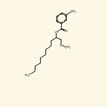 CCCCCCCCCC(COC)OC(=O)c1cccc(C)c1